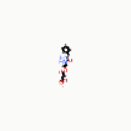 COC(=O)/C=C/C(=O)OCCNC(=O)NCC1CCCCC1